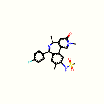 Cc1cc2c(cc1NS(C)(=O)=O)-c1cn(C)c(=O)cc1[C@H](C)N=C2c1ccc(F)cc1